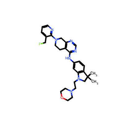 CC1(C)CN(CCN2CCOCC2)c2cc(Nc3ncnc4c3CCN(c3ncccc3CF)C4)ccc21